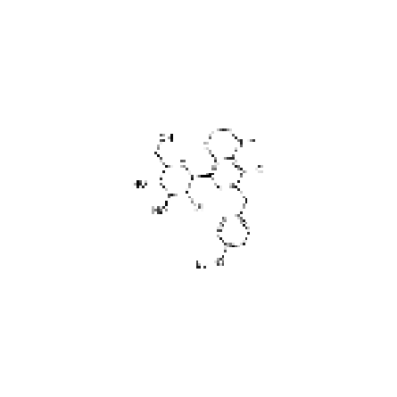 CCOc1ccc(Cc2cc([C@@H]3O[C@H](CO)[C@@H](O)[C@H](O)[C@H]3O)c3c(c2Cl)N(C)CCO3)cc1